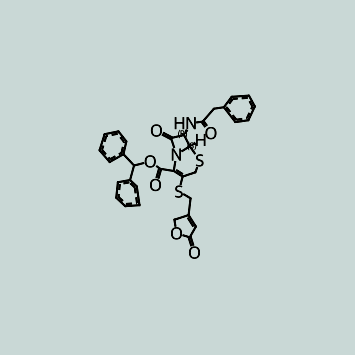 O=C(Cc1ccccc1)N[C@@H]1C(=O)N2C(C(=O)OC(c3ccccc3)c3ccccc3)=C(SCC3=CC(=O)OC3)CS[C@@H]12